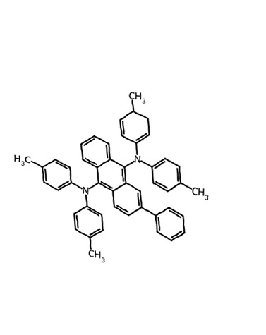 Cc1ccc(N(C2=CCC(C)C=C2)c2c3ccccc3c(N(c3ccc(C)cc3)c3ccc(C)cc3)c3ccc(-c4ccccc4)cc23)cc1